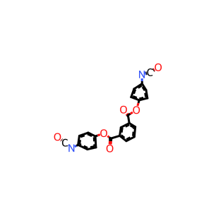 O=C=Nc1ccc(OC(=O)c2cccc(C(=O)Oc3ccc(N=C=O)cc3)c2)cc1